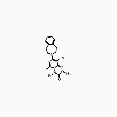 CCN(C(=O)OC(C)(C)C)n1c(C)nc(N2CCc3ccccc3CC2)c(C#N)c1=O